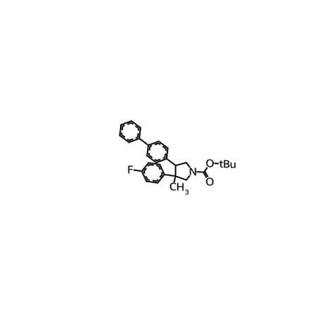 CC(C)(C)OC(=O)N1CC(c2ccc(-c3ccccc3)cc2)C(C)(c2ccc(F)cc2)C1